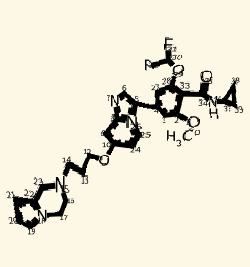 COc1cc(-c2cnc3cc(OCCCN4CCn5cccc5C4)ccn23)cc(OC(F)F)c1C(=O)NC1CC1